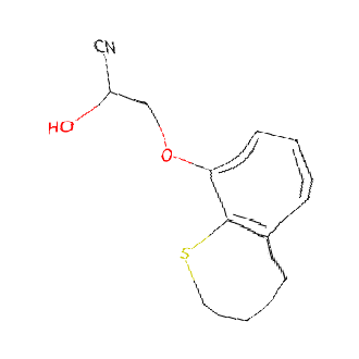 N#CC(O)COc1cccc2c1SCCC2